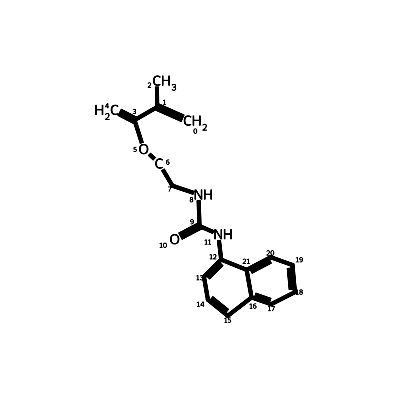 C=C(C)C(=C)OCCNC(=O)Nc1cccc2ccccc12